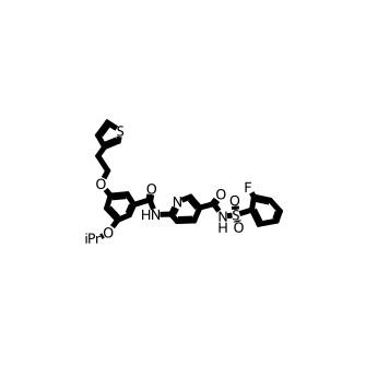 CC(C)Oc1cc(OCCc2ccsc2)cc(C(=O)Nc2ccc(C(=O)NS(=O)(=O)c3ccccc3F)cn2)c1